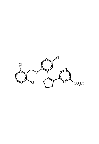 CCOC(=O)c1cncc(C2=C(c3cc(Cl)ccc3OCc3c(Cl)cccc3Cl)CCC2)n1